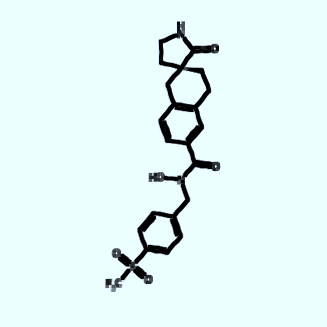 O=C(c1ccc2c(c1)CC[C@]1(CCNC1=O)C2)N(O)Cc1ccc(S(=O)(=O)C(F)(F)F)cc1